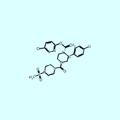 C=C(Oc1ccc(Cl)cn1)[C@H]1CCN(C(=O)N2CCN(S(C)(=O)=O)CC2)C[C@@H]1c1ccc(Cl)cc1